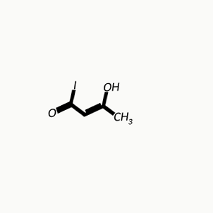 C/C(O)=C/C(=O)I